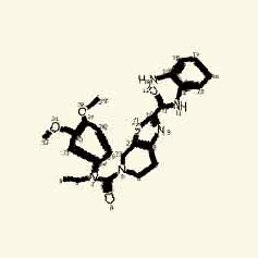 CCN(C(=O)N1CCc2nc(C(=O)Nc3ccccc3N)sc2C1)c1ccc(OC)c(OC)c1